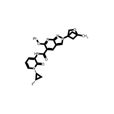 CC(C)Oc1nc2nn(C34COC(C)(C3)C4)cc2cc1C(=O)Nc1cccn([C@@H]2C[C@@H]2F)c1=O